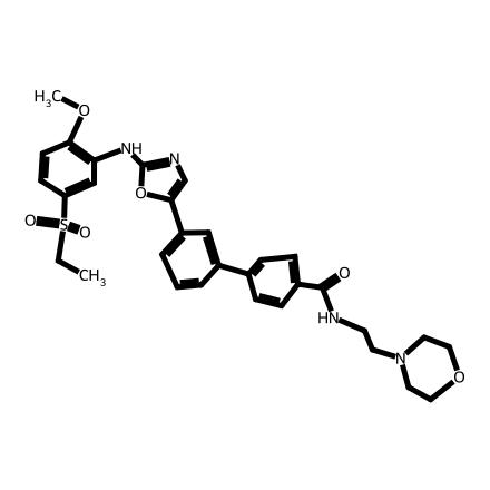 CCS(=O)(=O)c1ccc(OC)c(Nc2ncc(-c3cccc(-c4ccc(C(=O)NCCN5CCOCC5)cc4)c3)o2)c1